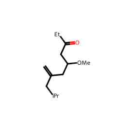 C=C(CC(C)C)CC(CC(=O)CC)OC